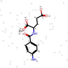 Nc1ccc(C(=O)NC(CCC(=O)[O-])C(=O)[O-])cc1.[Zn+2]